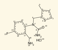 Cc1ccsc1CN(C(N)=O)c1ccc(F)cc1CN.Cl